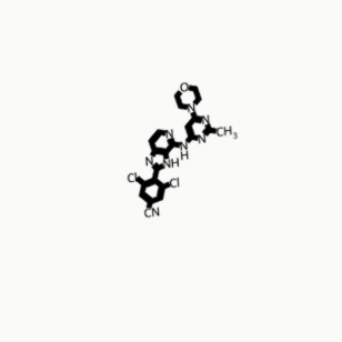 Cc1nc(Nc2nccc3nc(-c4c(Cl)cc(C#N)cc4Cl)[nH]c23)cc(N2CCOCC2)n1